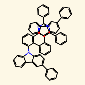 c1ccc(-c2ccc3c(c2)-c2ccccc2C3c2ccccc2-c2c(-c3cc(-c4ccccc4)nc(-c4ccccc4)n3)cccc2-n2c3ccccc3c3cc(-c4ccccc4)ccc32)cc1